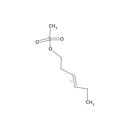 CC/C=C/CCOS(C)(=O)=O